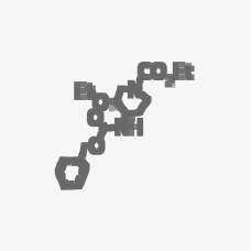 CCOC(=O)N1CC[C@@H](NC(=O)OCc2ccccc2)[C@@H](OCC)C1